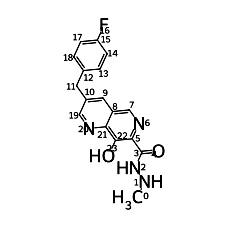 CNNC(=O)c1ncc2cc(Cc3ccc(F)cc3)cnc2c1O